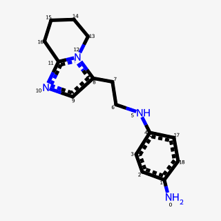 Nc1ccc(NCCc2cnc3n2CCCC3)cc1